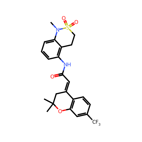 CN1c2cccc(NC(=O)/C=C3\CC(C)(C)Oc4cc(C(F)(F)F)ccc43)c2CCS1(=O)=O